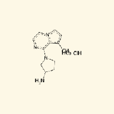 Cc1ccn2ccnc(N3CCC(N)C3)c12.Cl.Cl